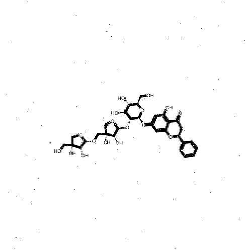 O=C1CC(c2ccccc2)Oc2cc(O[C@@H]3O[C@H](CO)[C@@H](O)[C@H](O)[C@H]3O[C@@H]3OC[C@](O)(CO[C@H]4OC[C@](O)(CO)[C@H]4O)[C@H]3O)cc(O)c21